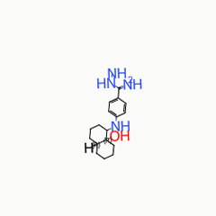 N=C(NN)c1ccc(NC2CCC[C@H]3CCCC[C@]23O)cc1